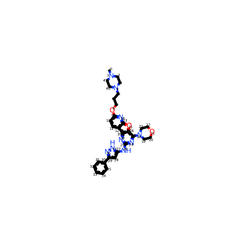 CN1CCN(CCCOc2ccc3c(n2)oc2c(N4CCOCC4)nc(Nc4cc(-c5ccccc5)n[nH]4)nc23)CC1